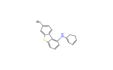 CC(C)(C)c1ccc2c(c1)sc1cccc(NC3=CC=CCC3)c12